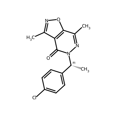 Cc1nn([C@H](C)c2ccc(Cl)cc2)c(=O)c2c(C)noc12